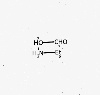 CCN.O=CO